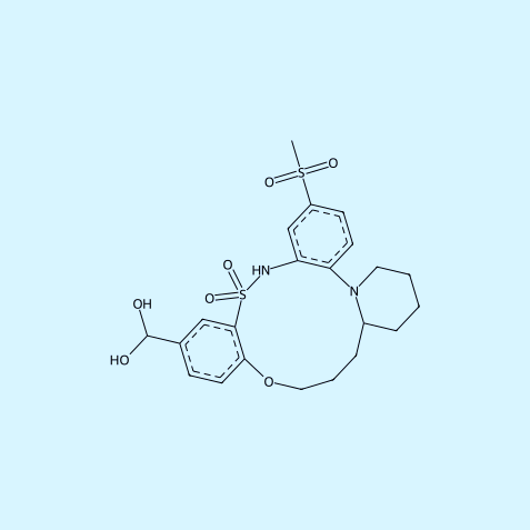 CS(=O)(=O)c1ccc2c(c1)NS(=O)(=O)c1cc(C(O)O)ccc1OCCCC1CCCCN21